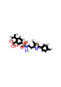 Cc1ccc(-c2nc(CCNS(=O)(=O)c3ccc(C(C)C)c(C(=O)O)c3)c(C)s2)cc1